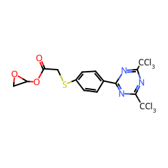 O=C(CSc1ccc(-c2nc(C(Cl)(Cl)Cl)nc(C(Cl)(Cl)Cl)n2)cc1)OC1CO1